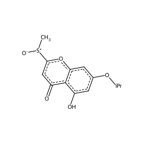 CC(C)Oc1cc(O)c2c(=O)cc([S+](C)[O-])oc2c1